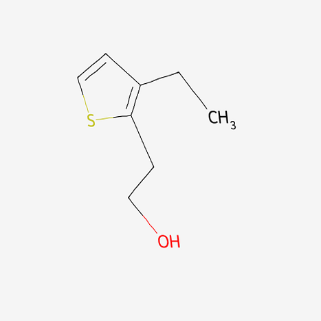 CCc1ccsc1CCO